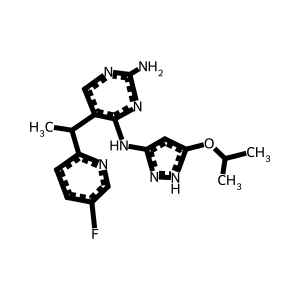 CC(C)Oc1cc(Nc2nc(N)ncc2C(C)c2ccc(F)cn2)n[nH]1